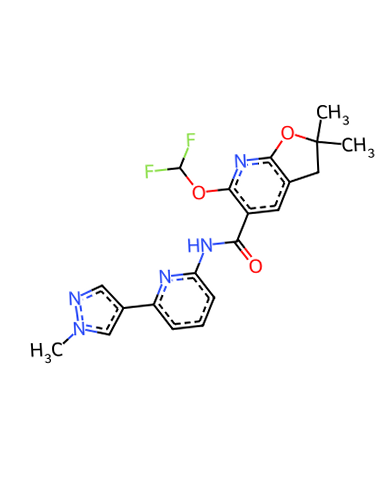 Cn1cc(-c2cccc(NC(=O)c3cc4c(nc3OC(F)F)OC(C)(C)C4)n2)cn1